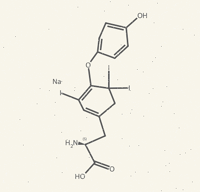 N[C@@H](CC1=CC(I)=C(Oc2ccc(O)cc2)C(I)(I)C1)C(=O)O.[Na]